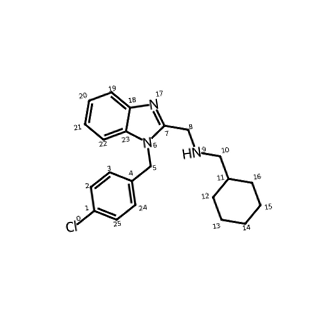 Clc1ccc(Cn2c(CNCC3CCCCC3)nc3ccccc32)cc1